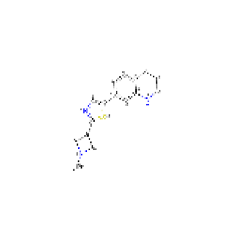 CC(C)N1CC(c2ncc(-c3ccc4c(c3)NCCC4)s2)C1